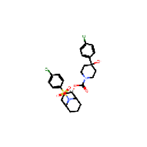 O=C(O[C@H]1CCC2CCCC1N2S(=O)(=O)c1ccc(Cl)cc1)N1CCC(O)(c2ccc(Cl)cc2)CC1